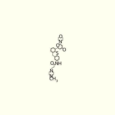 CN1CCN(CCC(=O)Nc2ccc3c(c2)Cc2cccc(-c4cc(=O)cc(N5CCOCC5)o4)c2S3)CC1